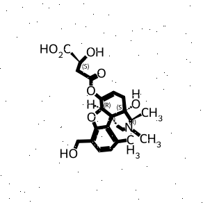 Cc1ccc(CO)c2c1[C@]13CCN(C)[C@H](C)[C@]1(O)CC=C(OC(=O)C[C@H](O)C(=O)O)[C@@H]3O2